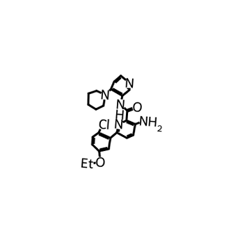 CCOc1ccc(Cl)c(-c2ccc(N)c(C(=O)Nc3cnccc3N3CCCCC3)n2)c1